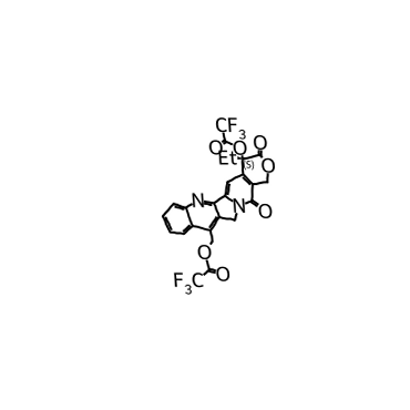 CC[C@@]1(OC(=O)C(F)(F)F)C(=O)OCc2c1cc1n(c2=O)Cc2c-1nc1ccccc1c2COC(=O)C(F)(F)F